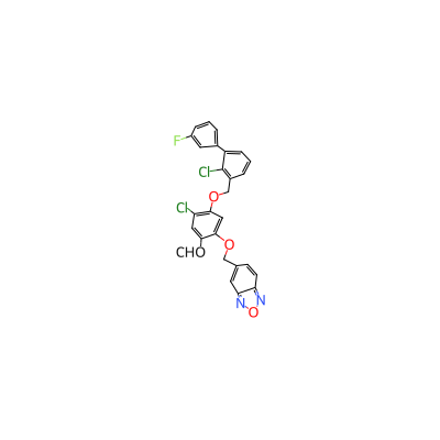 O=Cc1cc(Cl)c(OCc2cccc(-c3cccc(F)c3)c2Cl)cc1OCc1ccc2nonc2c1